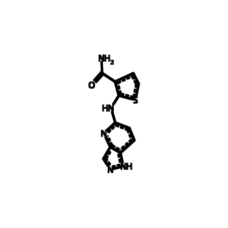 NC(=O)c1ccsc1Nc1ccc2[nH]ncc2n1